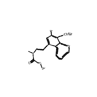 COc1c(Br)cc(CCN(C)C(=O)OC(C)(C)C)c2cccnc12